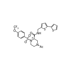 CC(=O)N1CCN(S(=O)(=O)c2ccc(OC(F)(F)F)cc2)[C@@H](C(=O)NCc2ccc(-c3cccs3)s2)C1